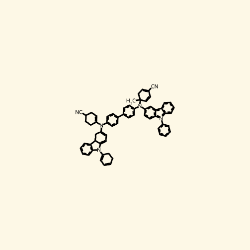 CC1(N(c2ccc(-c3ccc(N(C4=CCC(C#N)CC4)C4=CC=C5C(C4)c4ccccc4N5C4=CC=CCC4)cc3)cc2)c2ccc3c(c2)c2ccccc2n3-c2ccccc2)C=CC(C#N)=CC1